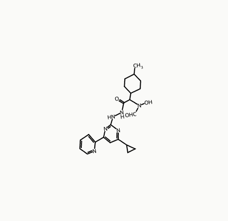 CC1CCC(C(C(=O)NNc2nc(-c3ccccn3)cc(C3CC3)n2)N(O)C=O)CC1